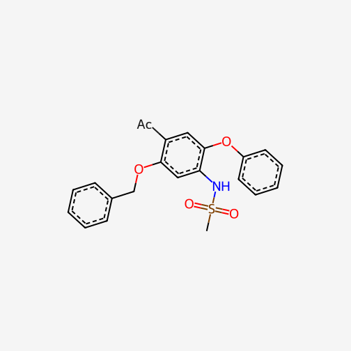 CC(=O)c1cc(Oc2ccccc2)c(NS(C)(=O)=O)cc1OCc1ccccc1